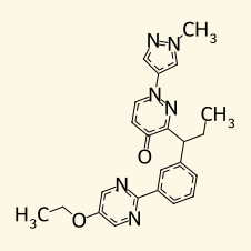 CCOc1cnc(-c2cccc(C(CC)c3nn(-c4cnn(C)c4)ccc3=O)c2)nc1